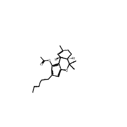 CCCCCc1cc(OC(C)=O)c2c(c1)OC(C)(C)[C@@H]1CCC(C)=C[C@@H]21